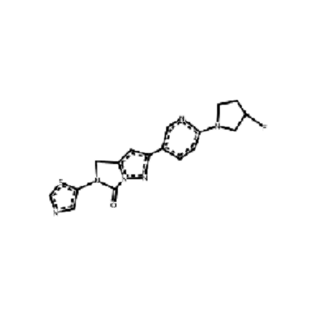 O=C1N(c2cncs2)Cc2cc(-c3ccc(N4CCC(F)C4)nc3)nn21